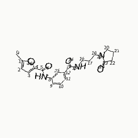 Cc1ccc(C(=O)Nc2cccc(C(=O)NCCCN3CCCC3=O)c2)o1